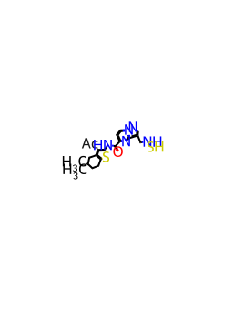 CC(=O)c1c(NC(=O)c2ccn3ncc(CNS)c3n2)sc2c1CC(C)(C)CC2